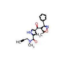 C#CCN(C)C(=O)c1cc(C(=O)c2c(-c3ccccc3)noc2C)c[nH]1